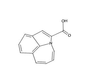 O=C(O)c1cc2cccc3c2n1C=CC=C3